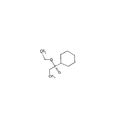 CCOP(=O)(CC)C1CCCCC1